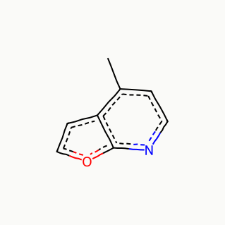 Cc1ccnc2occc12